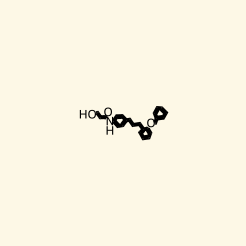 O=C(CCO)Nc1ccc(CCCc2ccccc2OCc2ccccc2)cc1